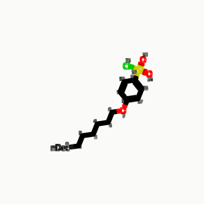 CCCCCCCCCCCCCCCCOc1ccc(S(=O)(=O)Cl)cc1